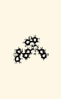 c1ccc2cc(C3N=C(c4cccc5oc6ccccc6c45)N=C(c4ccc5c(-c6nccc7oc8ccccc8c67)cccc5c4)N3)ccc2c1